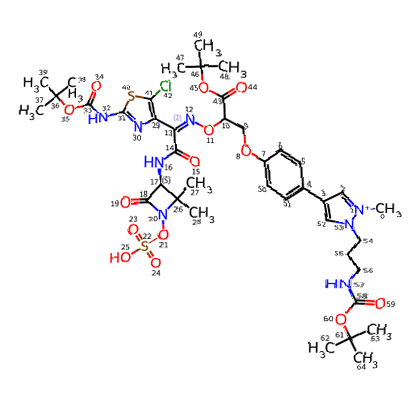 C[n+]1cc(-c2ccc(OCC(O/N=C(\C(=O)N[C@@H]3C(=O)N(OS(=O)(=O)O)C3(C)C)c3nc(NC(=O)OC(C)(C)C)sc3Cl)C(=O)OC(C)(C)C)cc2)cn1CCCNC(=O)OC(C)(C)C